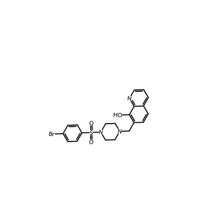 O=S(=O)(c1ccc(Br)cc1)N1CCN(Cc2ccc3cccnc3c2O)CC1